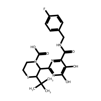 CC(C)(C)C1SCCN(C(=O)O)C1c1nc(O)c(O)c(C(=O)NCc2ccc(F)cc2)n1